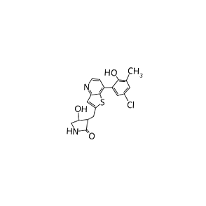 Cc1cc(Cl)cc(-c2ccnc3cc(CC4C(=O)NCC4O)sc23)c1O